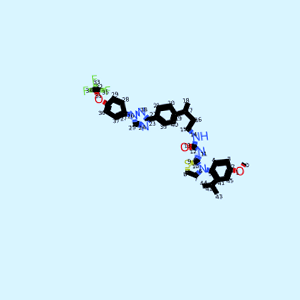 COc1ccc(N2CCS/C2=N\C(=O)NCCC(C)c2ccc(-c3ncn(-c4ccc(OC(F)(F)F)cc4)n3)cc2)c(C(C)C)c1